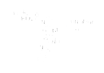 CCCCCNC(=O)/C=C/CC[C@H](NC(=O)c1nc2ccccc2s1)C(=O)Nc1cccn(CC(=O)NC23CC(C2)[C@@H]3C)c1=O